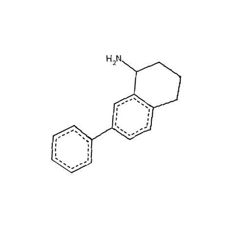 NC1CCCc2ccc(-c3ccccc3)cc21